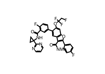 CNC(=O)c1c(-c2ccc(F)cc2)oc2cc(OC(F)(F)CF)c(-c3ccc(F)c(C(=O)NC4(c5ncccn5)CC4)c3)cc12